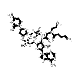 C=CCCC(=O)N(CCC)CC(=O)O[C@@H]1[C@@H](COP(=O)(O)O[C@H]2C[C@H](n3ccc(N)nc3=O)O[C@@H]2COP(=O)(O)O)OC(n2cnc3c(N)ncnc32)[C@@H]1O